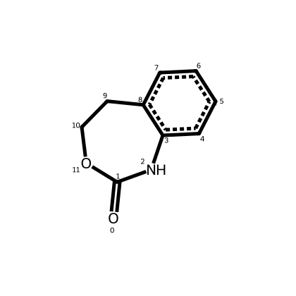 O=C1Nc2c[c]ccc2CCO1